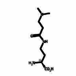 CN(C)CCC(=O)NCC[C@H](N)C(=O)O